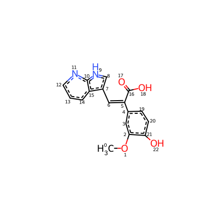 COc1cc(C(=Cc2c[nH]c3ncccc23)C(=O)O)ccc1O